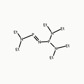 CCN(CC)P=NP(N(CC)CC)N(CC)CC